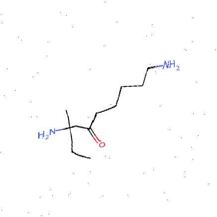 CCC(C)(N)C(=O)CCCCCN